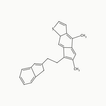 CC1=C(CCC2=Cc3ccccc3C2)C2=CC3SC=CC3=C(C)C2=C1